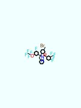 O=C(NC(Cc1ccccc1)(c1ccc(CBr)cc1)c1cc(F)cc(OC(F)(F)C(F)F)c1)c1ccc(F)c(C(F)(F)F)c1